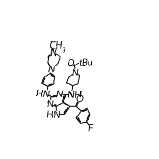 CN1CCN(c2ccc(Nc3nc(NC4CCN(C(=O)C(C)(C)C)CC4)c4c(C(=O)c5ccc(F)cc5)c[nH]c4n3)cc2)CC1